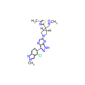 CNCC1(c2nc(C)cs2)[C@@H]2CN(c3cnc4c(-c5ccc6nn(C)cc6c5Cl)n[nH]c4n3)C[C@@H]21